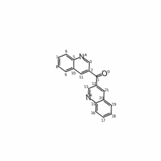 O=C(c1cnc2ccccc2c1)c1cnc2ccccc2c1